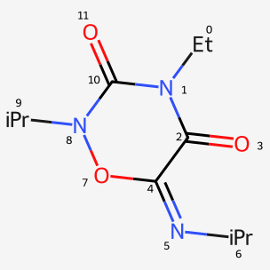 CCn1c(=O)/c(=N\C(C)C)on(C(C)C)c1=O